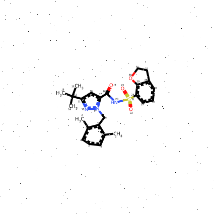 Cc1cccc(C)c1Cn1nc(C(C)(C)C)cc1C(=O)NS(=O)(=O)c1cccc2c1OCC2